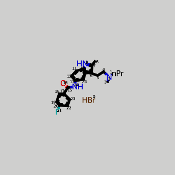 Br.CCCN(C)CCc1c(C)[nH]c2ccc(NC(=O)c3ccc(F)cc3)cc12